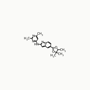 Cc1cc(Nc2cc3cc(B4OC(C)C(C)(C)O4)ccn3n2)nc(C)n1